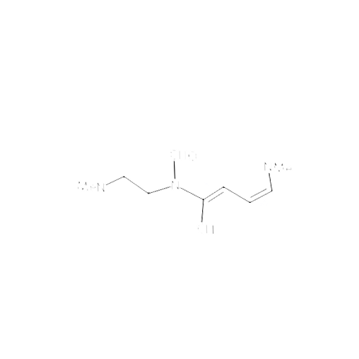 CN/C=C\C=C(/C)N(C=O)CCNC